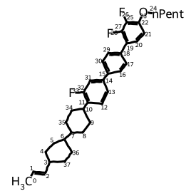 C/C=C/C1CCC(C2CCC(c3ccc(-c4ccc(-c5ccc(OCCCCC)c(F)c5F)cc4)cc3F)CC2)CC1